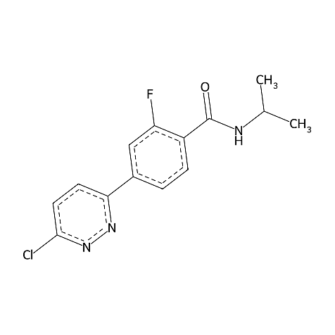 CC(C)NC(=O)c1ccc(-c2ccc(Cl)nn2)cc1F